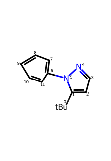 CC(C)(C)c1[c]cnn1-c1ccccc1